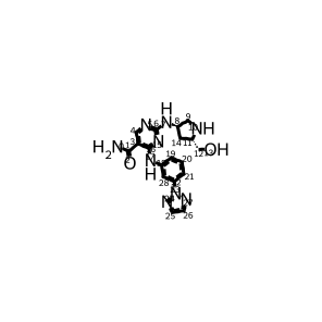 NC(=O)c1cnc(N[C@H]2CN[C@H](CO)C2)nc1Nc1cccc(-n2nccn2)c1